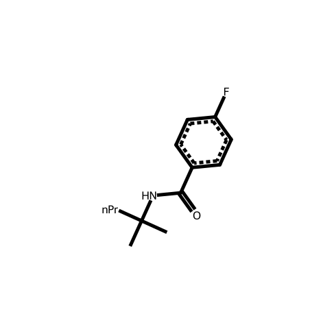 CCCC(C)(C)NC(=O)c1ccc(F)cc1